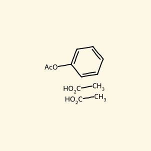 CC(=O)O.CC(=O)O.CC(=O)Oc1ccccc1